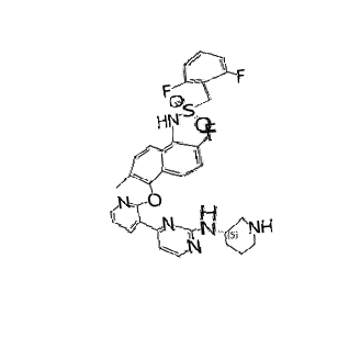 Cc1ccc2c(NS(=O)(=O)Cc3c(F)cccc3F)c(F)ccc2c1Oc1ncccc1-c1ccnc(N[C@H]2CCCNC2)n1